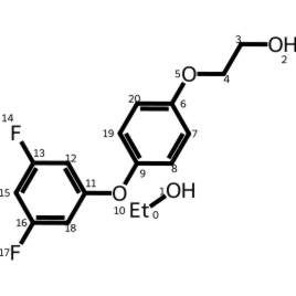 CCO.OCCOc1ccc(Oc2cc(F)cc(F)c2)cc1